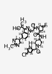 Cc1ncc(-c2ccc3c(c2)c(C(C)O)nn3CC(=O)N2C[C@H](F)C[C@H]2C(=O)NC2CCN(C(=O)c3cc(Cl)c[nH]3)CC2)cn1